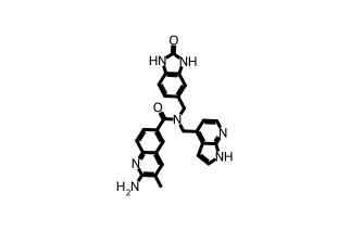 Cc1cc2cc(C(=O)N(Cc3ccc4[nH]c(=O)[nH]c4c3)Cc3ccnc4[nH]ccc34)ccc2nc1N